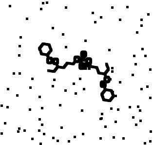 CCC(CCCOP(=O)(O)OCCCC(CC)OOC1CCCCC1)OOC1CCCCC1